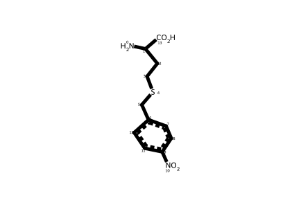 NC(CCSCc1ccc([N+](=O)[O-])cc1)C(=O)O